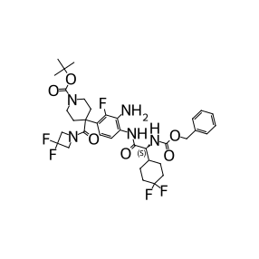 CC(C)(C)OC(=O)N1CCC(C(=O)N2CC(F)(F)C2)(c2ccc(NC(=O)[C@@H](NC(=O)OCc3ccccc3)C3CCC(F)(F)CC3)c(N)c2F)CC1